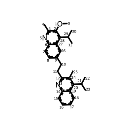 COc1c(C)nc2ccc(CCc3nc4ccccc4c(C(C)C)c3C)cc2c1C(C)C